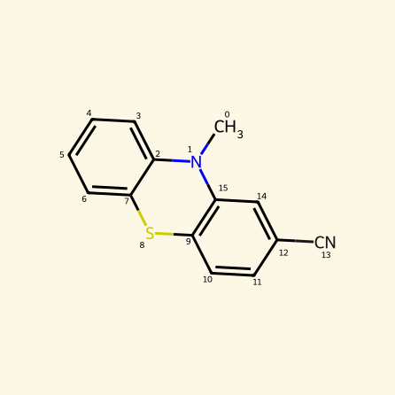 CN1c2ccccc2Sc2ccc(C#N)cc21